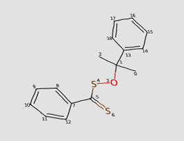 CC(C)(OSC(=S)c1ccccc1)c1ccccc1